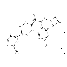 Cc1ccnc(N2CCC(C(=O)N(CC3CCC3)c3ccc(Cl)cc3)CC2)c1